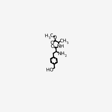 COC(=O)C(C)NC(=O)C(N)Cc1ccc(CO)cc1